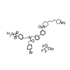 NS(=O)(=O)c1ccc(CCN(Cc2cccc(-c3cccc(C(=O)N4CCC(CCCC5CCNCC5)CC4)c3)c2)C(=O)Cc2ccc(Br)cc2)cc1.O=C(O)C(F)(F)F